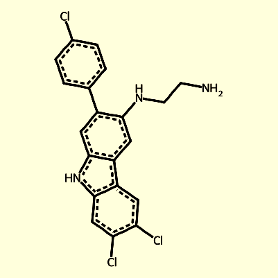 NCCNc1cc2c(cc1-c1ccc(Cl)cc1)[nH]c1cc(Cl)c(Cl)cc12